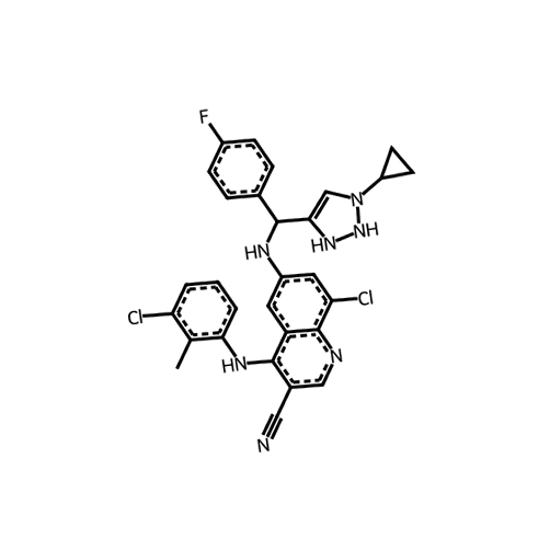 Cc1c(Cl)cccc1Nc1c(C#N)cnc2c(Cl)cc(NC(C3=CN(C4CC4)NN3)c3ccc(F)cc3)cc12